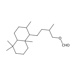 CC(CCC1C(C)CCC2C(C)(C)CCCC12C)COC=O